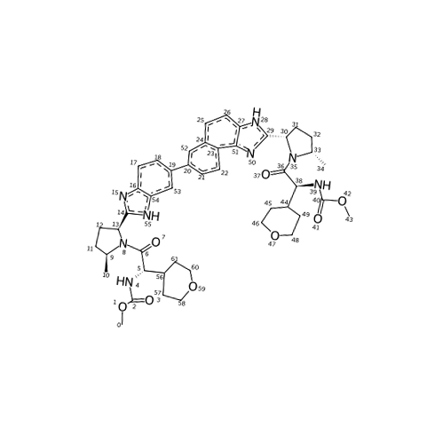 COC(=O)N[C@H](C(=O)N1[C@@H](C)CC[C@H]1c1nc2ccc(-c3ccc4c(ccc5[nH]c([C@@H]6CC[C@H](C)N6C(=O)[C@@H](NC(=O)OC)C6CCOCC6)nc54)c3)cc2[nH]1)C1CCOCC1